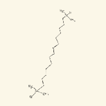 C[Si](C)(Cl)CCCCCCCCCCCCCC[Si](C)(C)Cl